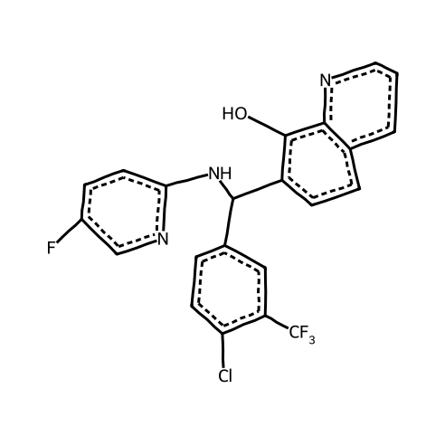 Oc1c(C(Nc2ccc(F)cn2)c2ccc(Cl)c(C(F)(F)F)c2)ccc2cccnc12